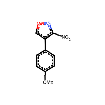 COc1ccc(-c2conc2[N+](=O)[O-])cc1